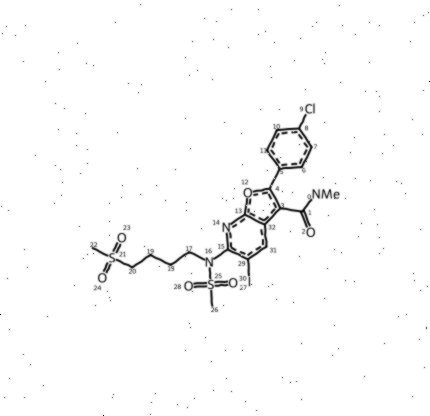 CNC(=O)c1c(-c2ccc(Cl)cc2)oc2nc(N(CCCCS(C)(=O)=O)S(C)(=O)=O)c(I)cc12